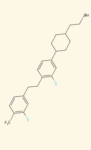 CCC(C)CCC1CCC(c2ccc(CCc3ccc(C(F)(F)F)c(F)c3)c(F)c2)CC1